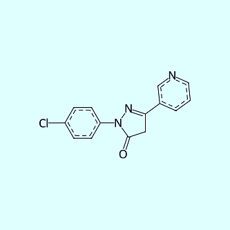 O=C1CC(c2cccnc2)=NN1c1ccc(Cl)cc1